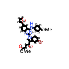 COC(=O)CCC(=O)c1cn(-c2nc(Nc3ccc(OC)cc3)c3cc(-c4ccco4)ccc3n2)c2ccc(Br)cc12